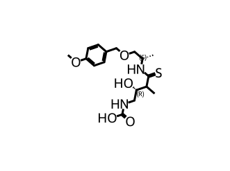 COc1ccc(COC[C@H](C)NC(=S)C(C)[C@@H](O)CNC(=O)O)cc1